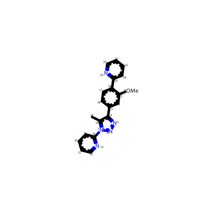 COc1cc(-c2nnn(-c3ccccn3)c2C)ccc1-c1ccccn1